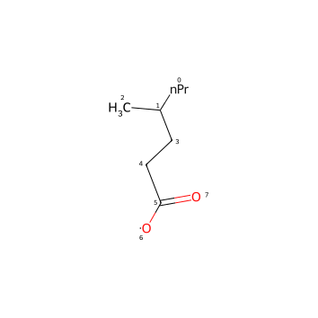 CCCC(C)CCC([O])=O